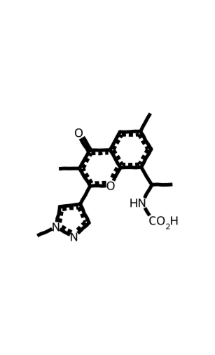 Cc1cc(C(C)NC(=O)O)c2oc(-c3cnn(C)c3)c(C)c(=O)c2c1